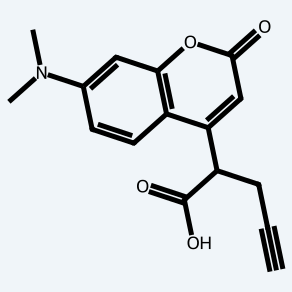 C#CCC(C(=O)O)c1cc(=O)oc2cc(N(C)C)ccc12